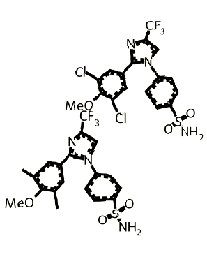 COc1c(C)cc(-c2nc(C(F)(F)F)cn2-c2ccc(S(N)(=O)=O)cc2)cc1C.COc1c(Cl)cc(-c2nc(C(F)(F)F)cn2-c2ccc(S(N)(=O)=O)cc2)cc1Cl